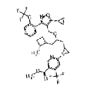 COC(=O)c1cnc(N2CC2CC(CC2CC[C@H]2C)OCc2c(-c3ccccc3OC(F)(F)F)noc2C2CC2)cc1C(F)(F)F